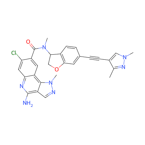 Cc1nn(C)cc1C#Cc1ccc2c(c1)OCC2N(C)C(=O)c1cc2c(cc1Cl)nc(N)c1cnn(C)c12